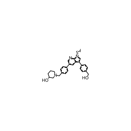 OCc1ccc(-c2cn(SI)c3ncc(-c4ccc(CN5CCCC(O)C5)cc4)cc23)cc1